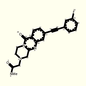 CNC(=O)CN1CCn2c(nc3cc(C#Cc4cccc(F)c4)ccc3c2=O)C1